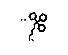 Br.PCCCCCC(c1ccccc1)(c1ccccc1)c1ccccc1